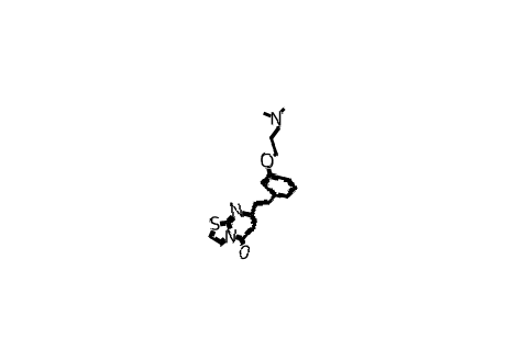 CN(C)CCCOc1cccc(/C=C/c2cc(=O)n3ccsc3n2)c1